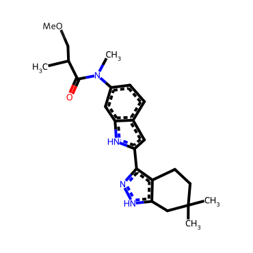 COCC(C)C(=O)N(C)c1ccc2cc(-c3n[nH]c4c3CCC(C)(C)C4)[nH]c2c1